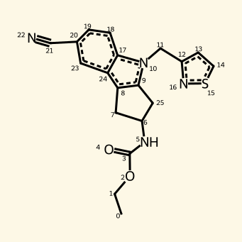 CCOC(=O)NC1Cc2c(n(Cc3ccsn3)c3ccc(C#N)cc23)C1